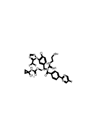 CC(C)(C)CCNC(=N)N(C(=O)c1ccc(-c2ncc(F)cn2)cc1)[C@H](COC(=O)NC1(C(F)(F)F)CC1)c1ccc(Cl)c(-n2ncnc2C(F)F)c1